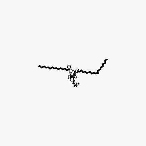 CCCCCCCC/C=C\CCCCCCCCO[C@H](COC(=O)CCCCCCCCCCCCCCC)COP(=O)([O-])OCC[N+](C)(C)C